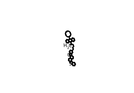 C=C(/C=C\C=C\c1ccc2oc3c(ccc4c3ccc3sc5ccccc5c34)c2c1)c1c2ccccc2c(/C2=C/C=C\C/C=C\C=C/C2)c2ccccc12